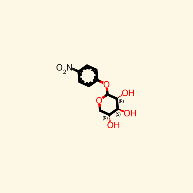 O=[N+]([O-])c1ccc(OC2OC[C@@H](O)[C@H](O)[C@H]2O)cc1